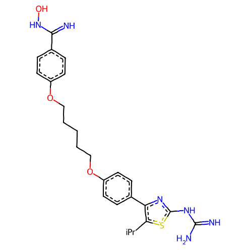 CC(C)c1sc(NC(=N)N)nc1-c1ccc(OCCCCCOc2ccc(C(=N)NO)cc2)cc1